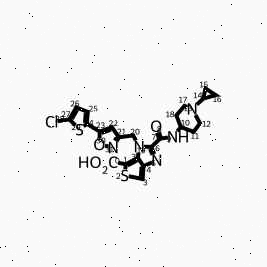 O=C(O)c1scc2nc(C(=O)NC3CCN(C4CC4)CC3)n(Cc3cc(-c4ccc(Cl)s4)on3)c12